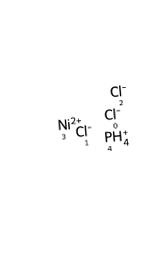 [Cl-].[Cl-].[Cl-].[Ni+2].[PH4+]